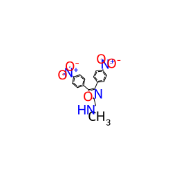 CNCc1nc(-c2ccc([N+](=O)[O-])cc2)c(-c2ccc([N+](=O)[O-])cc2)o1